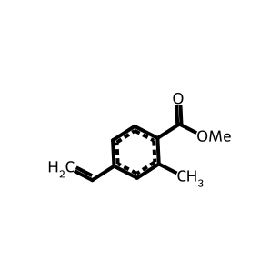 C=Cc1ccc(C(=O)OC)c(C)c1